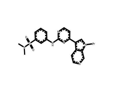 CC(C)n1cc(-c2ccnc(Nc3cccc(S(=O)(=O)N(C)C)c3)n2)c2ccncc21